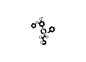 COc1ccc(N2CCN(C(=O)C(=O)c3ccco3)[C@@H](Cc3ccccc3)C2)cc1OC1CCCC1